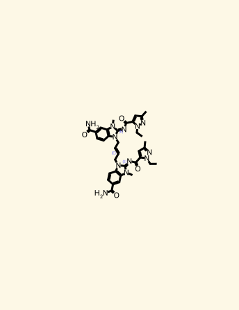 CCn1nc(C)cc1C(=O)/N=c1\n(C)c2cc(C(N)=O)ccc2n1C/C=C/Cn1/c(=N/C(=O)c2cc(C)nn2CC)n(C)c2cc(C(N)=O)ccc21